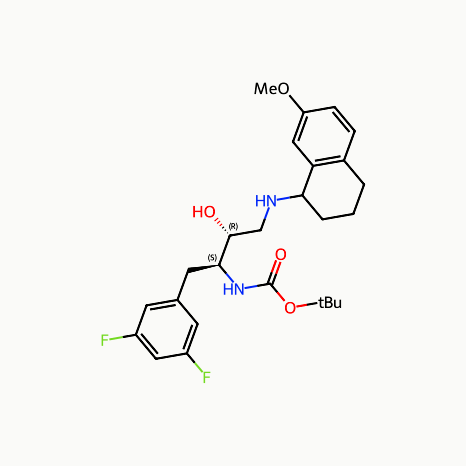 COc1ccc2c(c1)C(NC[C@@H](O)[C@H](Cc1cc(F)cc(F)c1)NC(=O)OC(C)(C)C)CCC2